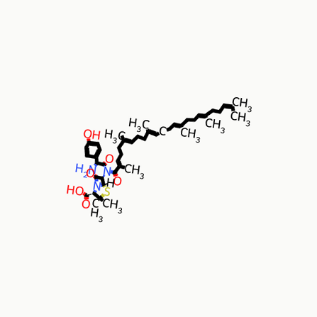 CC(C)=CCC/C(C)=C/CC/C(C)=C/CC/C=C(\C)CC/C=C(\C)CCC=C(C)C(=O)N(C(=O)C(N)c1ccc(O)cc1)[C@@H]1C(=O)N2[C@@H]1SC(C)(C)[C@@H]2C(=O)O